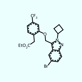 CCOC(=O)Cc1ccc(C(F)(F)F)cc1OCc1c2cc(Br)ccc2nn1C1CCC1